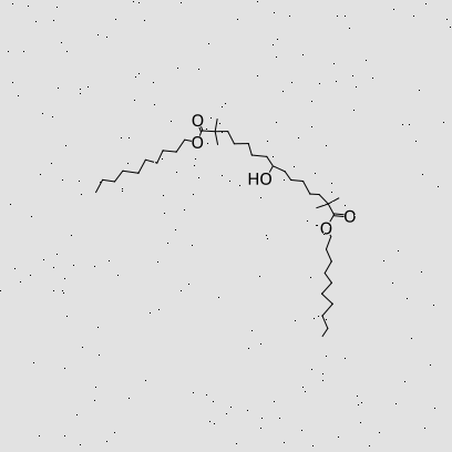 CCCCCCCCCCOC(=O)C(C)(C)CCCCCC(O)CCCCCC(C)(C)C(=O)OCCCCCCCCCC